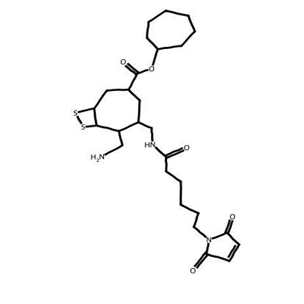 NCC1C(CNC(=O)CCCCCN2C(=O)C=CC2=O)CC(C(=O)OC2CCCCCC2)CC2SSC21